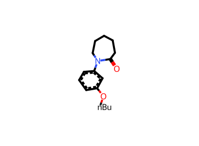 CCCCOc1cccc(N2CCCCCC2=O)c1